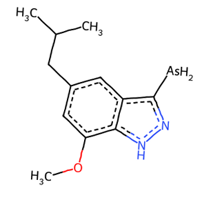 COc1cc(CC(C)C)cc2c([AsH2])n[nH]c12